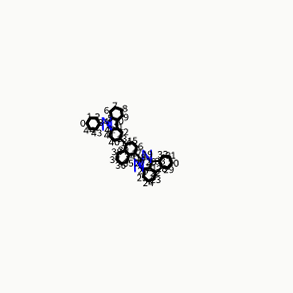 c1ccc(-n2c3ccccc3c3cc(-c4ccc(-c5nc6c7c(cccc7n5)-c5ccccc5-6)c5ccccc45)ccc32)cc1